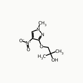 Cn1cc([N+](=O)[O-])c(OCC(C)(C)O)n1